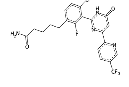 NC(=O)CCCCc1ccc(Cl)c(-c2nc(-c3ccc(C(F)(F)F)cn3)cc(=O)[nH]2)c1F